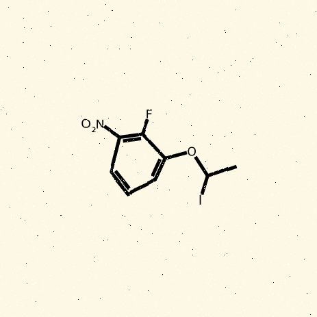 CC(I)Oc1cccc([N+](=O)[O-])c1F